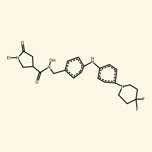 CCN1CC(C(=O)N(O)Cc2ccc(Nc3ccc(N4CCC(F)(F)CC4)cc3)cc2)CC1=O